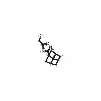 ClCc1nc(C23CC4CC5CC(C2)C543)no1